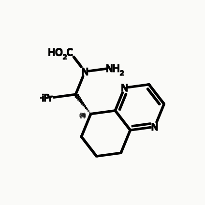 C[C](C)C([C@H]1CCCc2nccnc21)N(N)C(=O)O